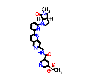 CN1C[C@H]2CCN(c3cccc(-c4ccc5cnc(CNC(=O)c6cncc(S(C)(=O)=O)c6)cc5n4)n3)[C@H]2C1=O